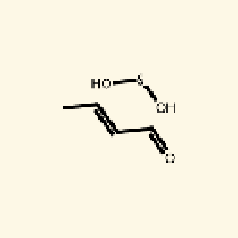 CC=CC=O.OSO